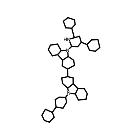 C1CCC(C2CCC(N3C4CCCCC4C4CC(C5CCC6C(C5)C5CCCCC5N6C5CC(C6CCCCC6)CC(C6CCCCC6)N5)CCC43)CC2)CC1